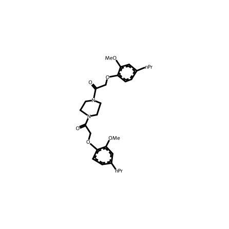 CCCc1ccc(OCC(=O)N2CCN(C(=O)COc3ccc(CCC)cc3OC)CC2)c(OC)c1